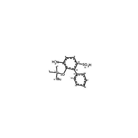 CC(C)(C)[Si](C)(C)Oc1c(N)ccc(S(=O)(=O)O)c1-c1ccccc1